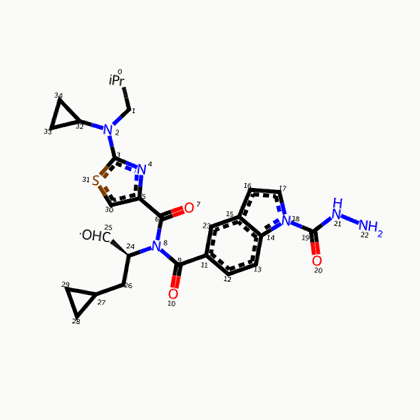 CC(C)CN(c1nc(C(=O)N(C(=O)c2ccc3c(ccn3C(=O)NN)c2)[C@H]([C]=O)CC2CC2)cs1)C1CC1